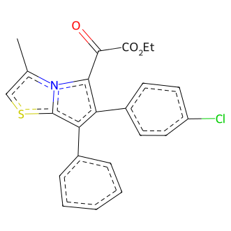 CCOC(=O)C(=O)c1c(-c2ccc(Cl)cc2)c(-c2ccccc2)c2scc(C)n12